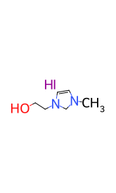 CN1C=CN(CCO)C1.I